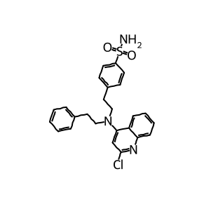 NS(=O)(=O)c1ccc(CCN(CCc2ccccc2)c2cc(Cl)nc3ccccc23)cc1